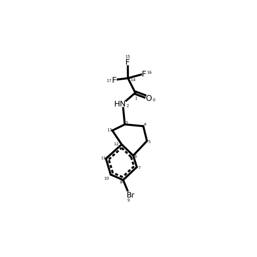 O=C(NC1CCc2cc(Br)ccc2C1)C(F)(F)F